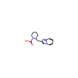 O=C(O)N1CCCCC1Cc1cn2ccccc2n1